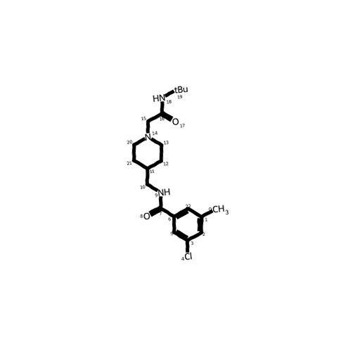 Cc1cc(Cl)cc(C(=O)NCC2CCN(CC(=O)NC(C)(C)C)CC2)c1